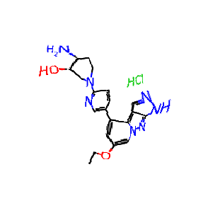 CCOc1cc(-c2ccc(N3CC[C@H](N)[C@H](O)C3)nc2)c2c3cn[nH]c3nn2c1.Cl